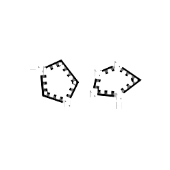 c1c[nH]cn1.c1nnn[nH]1